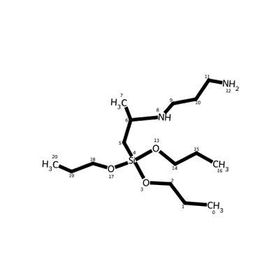 CCCO[Si](CC(C)NCCCN)(OCCC)OCCC